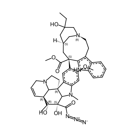 CCC1(O)C[C@H]2C[N@](CCc3c([nH]c4ccccc34)[C@@](C(=O)OC)(c3cc4c(cc3OC)N(C)C3[C@]45CCN4CC=C[C@](CC)(C45)[C@@H](O)[C@]3(O)C(=O)N=[N+]=[N-])C2)C1